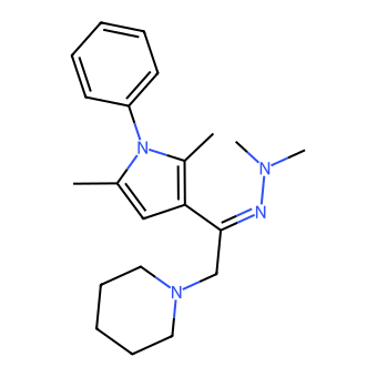 Cc1cc(/C(CN2CCCCC2)=N\N(C)C)c(C)n1-c1ccccc1